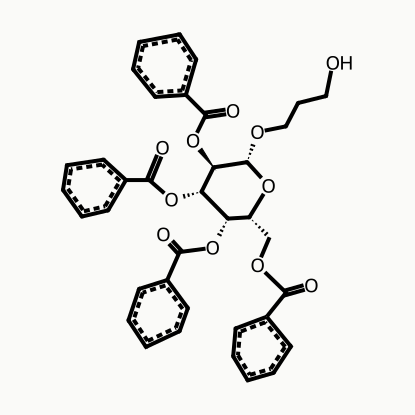 O=C(OC[C@H]1O[C@@H](OCCCO)[C@H](OC(=O)c2ccccc2)[C@@H](OC(=O)c2ccccc2)[C@H]1OC(=O)c1ccccc1)c1ccccc1